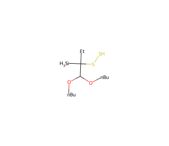 CCCCOC(OCCCC)C([SiH3])(CC)SS